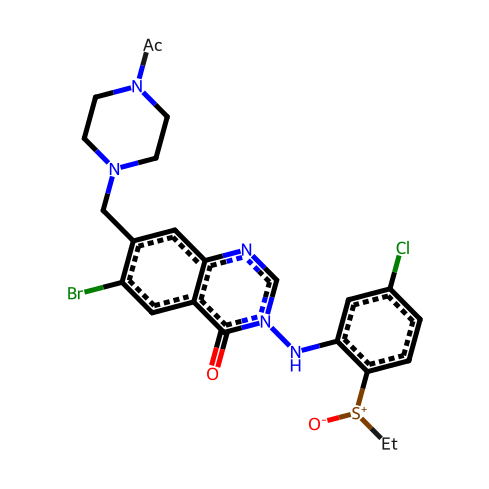 CC[S+]([O-])c1ccc(Cl)cc1Nn1cnc2cc(CN3CCN(C(C)=O)CC3)c(Br)cc2c1=O